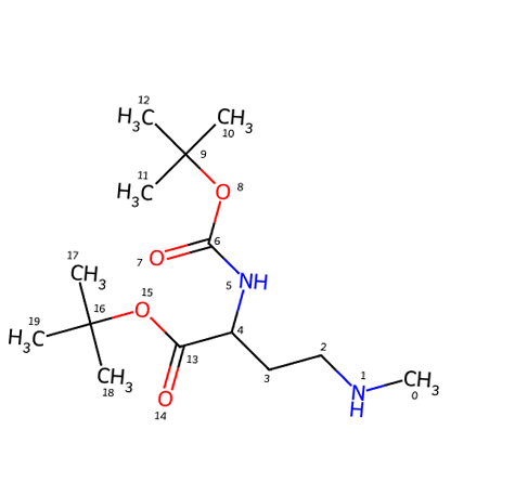 CNCCC(NC(=O)OC(C)(C)C)C(=O)OC(C)(C)C